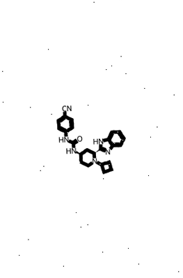 N#Cc1ccc(NC(=O)N[C@@H]2CCN(C3CCC3)[C@@H](c3nc4ccccc4[nH]3)C2)cc1